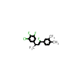 Cc1ccc(/C(F)=C/C(c2cc(F)c(F)c(Cl)c2)C(F)(F)F)cc1C(F)(F)F